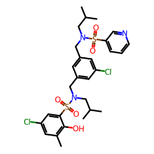 Cc1cc(Cl)cc(S(=O)(=O)N(Cc2cc(Cl)cc(CN(CC(C)C)S(=O)(=O)c3cccnc3)c2)CC(C)C)c1O